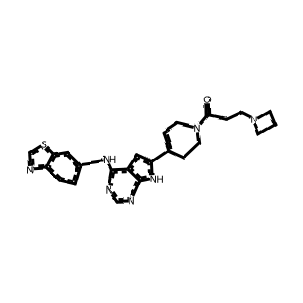 O=C(CCN1CCC1)N1CC=C(c2cc3c(Nc4ccc5ncsc5c4)ncnc3[nH]2)CC1